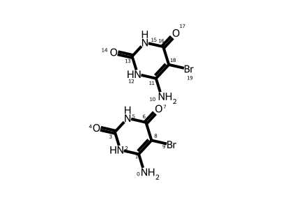 Nc1[nH]c(=O)[nH]c(=O)c1Br.Nc1[nH]c(=O)[nH]c(=O)c1Br